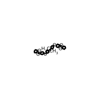 CC(C)(c1ccc(Oc2ccc(S(=O)(=O)c3ccccc3)cc2)cc1)c1ccc(Oc2ccc(S(=O)(=O)c3ccccc3)cc2)cc1